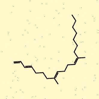 C=CC=CCCCC(C)=CCCC=C(C)CCCCCCC